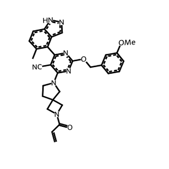 C=CC(=O)N1CC2(CCN(c3nc(OCc4cccc(OC)c4)nc(-c4c(C)ccc5[nH]ncc45)c3C#N)C2)C1